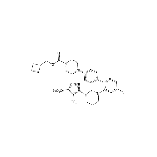 CCOC(=O)c1cnn(C2CCCN(c3cc(Cl)ccc3-c3ccc(N4CCN(C(=O)OCC5CCC5)CC4)cc3)C2)c1C(F)(F)F